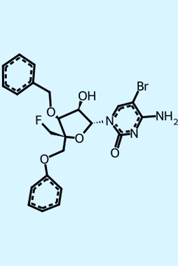 Nc1nc(=O)n([C@@H]2O[C@](CF)(COc3ccccc3)[C@@H](OCc3ccccc3)[C@H]2O)cc1Br